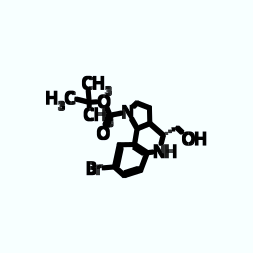 CC(C)(C)OC(=O)N1CCC2C1c1cc(Br)ccc1N[C@H]2CO